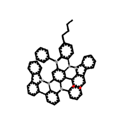 CCCCc1ccc2c(c1)N(c1ccccc1)c1cc3c(c4c1B2n1c2ccccc2c2cccc-4c21)N(c1ccccc1)c1cccc2c1B3n1c3ccccc3c3cccc-2c31